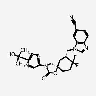 CC(C)(O)c1cnc(N2C[C@]3(CCC(F)(F)[C@@H](Cn4cnc5ccc(C#N)cc54)C3)OC2=O)cn1